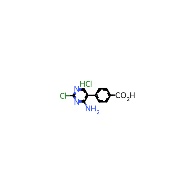 Cl.Nc1nc(Cl)ncc1-c1ccc(C(=O)O)cc1